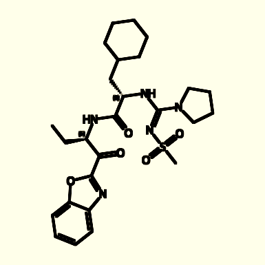 CC[C@@H](NC(=O)[C@H](CC1CCCCC1)NC(=NS(C)(=O)=O)N1CCCC1)C(=O)c1nc2ccccc2o1